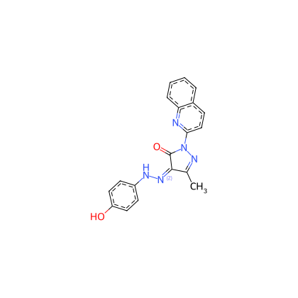 CC1=NN(c2ccc3ccccc3n2)C(=O)/C1=N\Nc1ccc(O)cc1